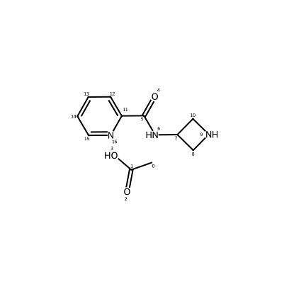 CC(=O)O.O=C(NC1CNC1)c1ccccn1